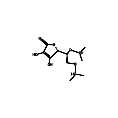 C[SiH](C)OC[C@H](O[SiH](C)C)[C@H]1OC(=O)C(O)=C1O